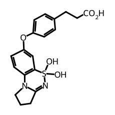 O=C(O)CCc1ccc(Oc2ccc3c(c2)S(O)(O)N=C2CCCN23)cc1